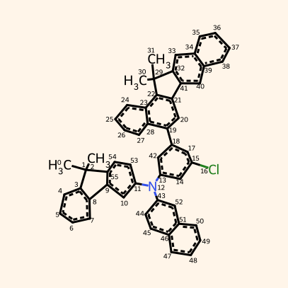 CC1(C)c2ccccc2-c2cc(N(c3cc(Cl)cc(-c4cc5c(c6ccccc46)C(C)(C)c4cc6ccccc6cc4-5)c3)c3ccc4ccccc4c3)ccc21